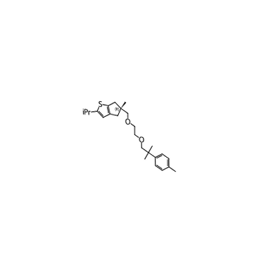 Cc1ccc(C(C)(C)COCCOC[C@]2(C)Cc3cc(C(C)C)sc3C2)cc1